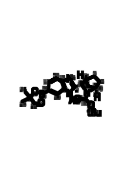 CC(=O)n1c([C@@H]2[C@H]3CC[C@H](C3)N2C(=O)OC(C)(C)C)nc2ccc(B3OCC(C)(C)O3)cc21